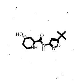 CC(C)(C)c1cc(NC(=O)C2C[C@@H](O)CCN2)no1